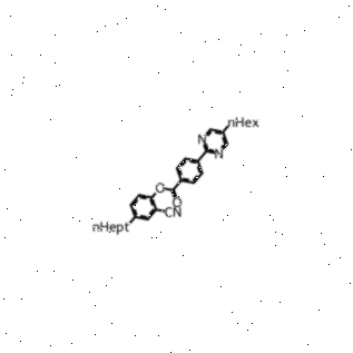 CCCCCCCc1ccc(OC(=O)c2ccc(-c3ncc(CCCCCC)cn3)cc2)c(C#N)c1